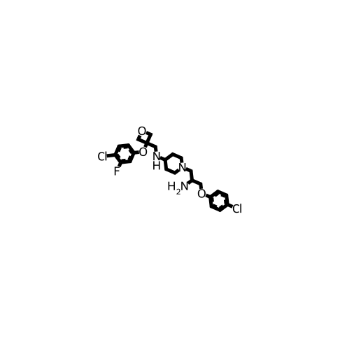 NC(COc1ccc(Cl)cc1)CN1CCC(NCC2(Oc3ccc(Cl)c(F)c3)COC2)CC1